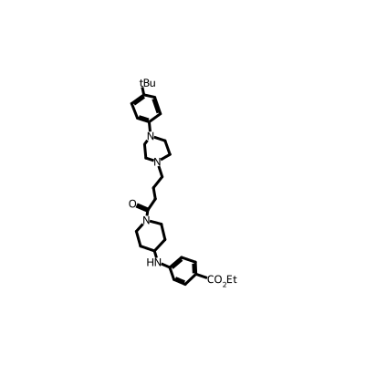 CCOC(=O)c1ccc(NC2CCN(C(=O)CCCN3CCN(c4ccc(C(C)(C)C)cc4)CC3)CC2)cc1